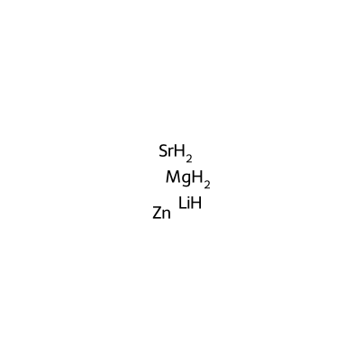 [LiH].[MgH2].[SrH2].[Zn]